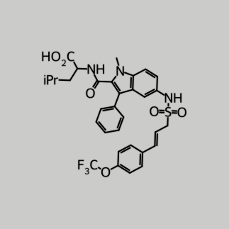 CC(C)CC(NC(=O)c1c(-c2ccccc2)c2cc(NS(=O)(=O)CC=Cc3ccc(OC(F)(F)F)cc3)ccc2n1C)C(=O)O